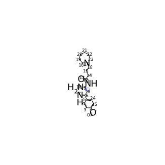 COc1ccc(C(=N)/C=C(\N)NC(=O)CCCN2CCCCCC2)cc1